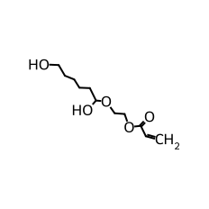 C=CC(=O)OCCOC(O)CCCCCO